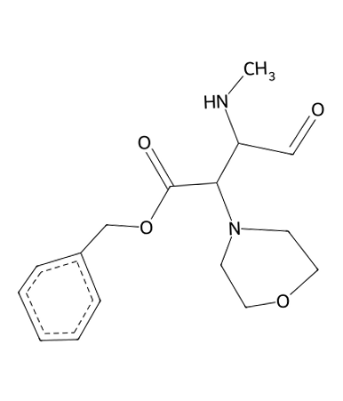 CNC(C=O)C(C(=O)OCc1ccccc1)N1CCOCC1